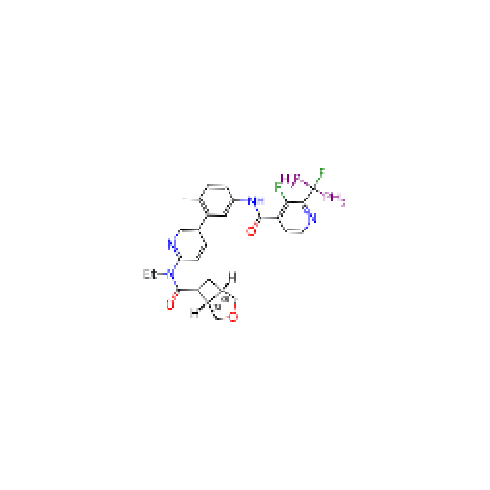 CCN(C(=O)C1C[C@@H]2COC[C@H]12)c1ccc(-c2cc(NC(=O)c3ccnc(C(F)(P)P)c3F)ccc2C)cn1